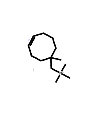 CC1(C[N+](C)(C)C)CC/C=C\CCC1.[I-]